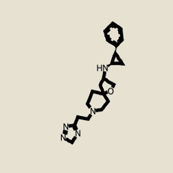 c1ccc([C@@H]2C[C@H]2NC2COC3(CCN(CCC4=NCN=N4)CC3)C2)cc1